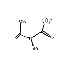 C=C(O)N(C(=O)C(=O)O)C(C)C